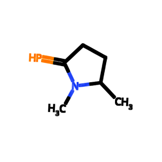 CC1CCC(=P)N1C